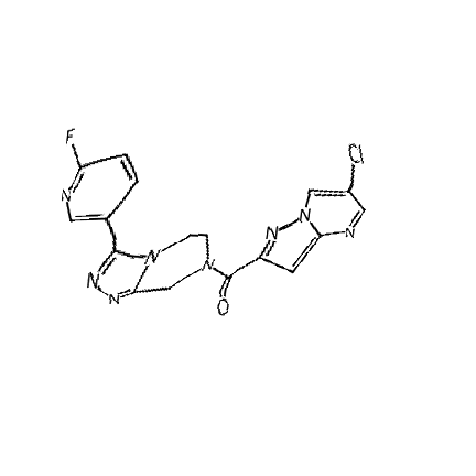 O=C(c1cc2ncc(Cl)cn2n1)N1CCn2c(nnc2-c2ccc(F)nc2)C1